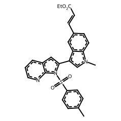 CCOC(=O)C=Cc1ccc2c(c1)c(-c1cc3cccnc3n1S(=O)(=O)c1ccc(C)cc1)cn2C